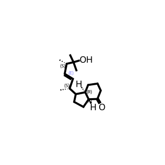 C[C@H](/C=C/[C@H](C)C(C)(C)O)C1CC[C@H]2C(=O)CCC[C@H]12